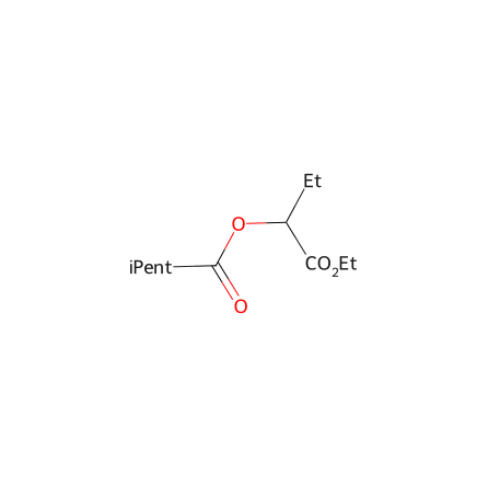 CCCC(C)C(=O)OC(CC)C(=O)OCC